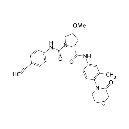 C#Cc1ccc(NC(=O)N2C[C@H](OC)C[C@@H]2C(=O)Nc2ccc(N3CCOCC3=O)c(C)c2)cc1